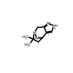 CC1(C)CC2NN1Cc1n[nH]cc12